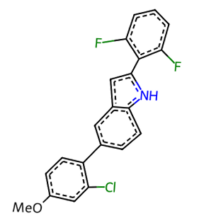 COc1ccc(-c2ccc3[nH]c(-c4c(F)cccc4F)cc3c2)c(Cl)c1